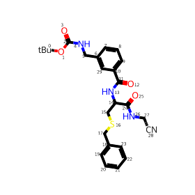 CC(C)(C)OC(=O)NCc1cccc(C(=O)NC(CSCc2ccccc2)C(=O)NCC#N)c1